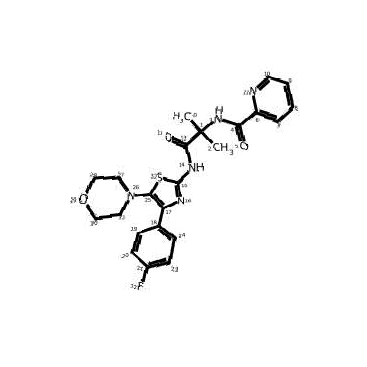 CC(C)(NC(=O)c1ccccn1)C(=O)Nc1nc(-c2ccc(F)cc2)c(N2CCOCC2)s1